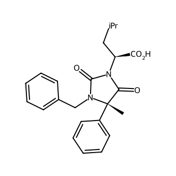 CC(C)C[C@@H](C(=O)O)N1C(=O)N(Cc2ccccc2)[C@@](C)(c2ccccc2)C1=O